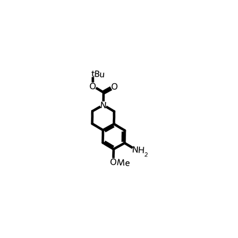 COc1cc2c(cc1N)CN(C(=O)OC(C)(C)C)CC2